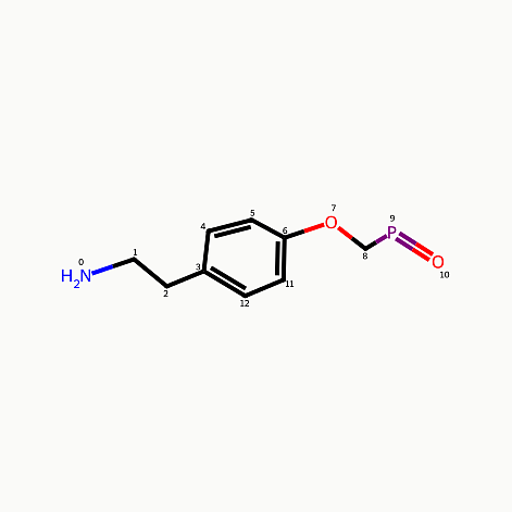 NCCc1ccc(OCP=O)cc1